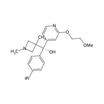 COCCOc1cc([C@@](O)(c2ccc(C(C)C)cc2)C2(C)CN(C)C2)ccn1